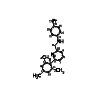 Cc1cc(C)c(-c2cccc(CNc3ccc(C(C)C)cc3)n2)c(C)c1